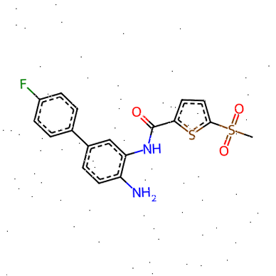 CS(=O)(=O)c1ccc(C(=O)Nc2cc(-c3ccc(F)cc3)ccc2N)s1